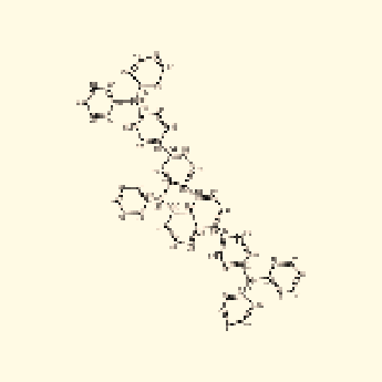 c1ccc(N(c2ccccc2)c2cnc(-c3ccc4c5c(cccc35)N(c3ccccc3)c3cc(-c5ccc(N(c6ccccc6)c6ccccc6)nc5)ccc3-4)nc2)cc1